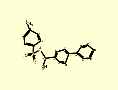 Cc1ccc(S(=O)(=O)OI(O)c2ccc(-c3ccccc3)cc2)cc1